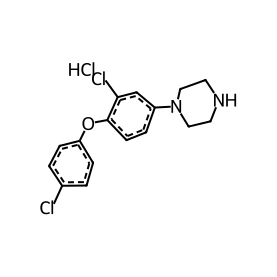 Cl.Clc1ccc(Oc2ccc(N3CCNCC3)cc2Cl)cc1